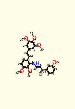 COc1cccc(C(=O)C=CNc2c(C=Cc3cc(OC)c(OC)c(OC)c3)ccc(OC)c2OC)c1